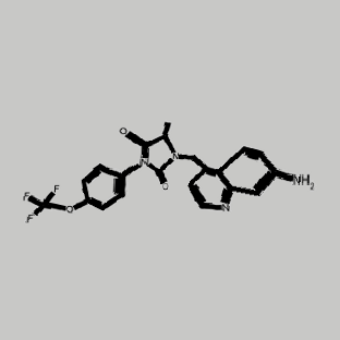 CC1C(=O)N(c2ccc(OC(F)(F)F)cc2)C(=O)N1Cc1ccnc2cc(N)ccc12